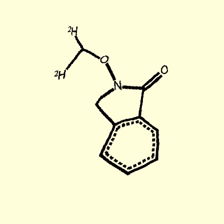 [2H]C([2H])ON1Cc2ccccc2C1=O